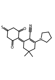 CC1(C)CC(=C2C(=O)CC(=S)CC2=O)C(C#N)=C(N2CCCC2)C1